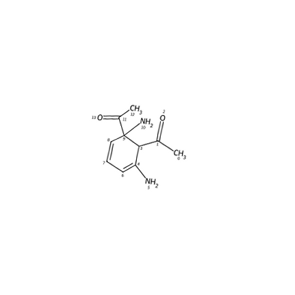 CC(=O)C1C(N)=CC=CC1(N)C(C)=O